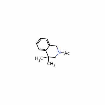 CC(=O)N1Cc2c[c]ccc2C(C)(C)C1